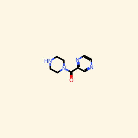 O=C(c1cnccn1)N1CCNCC1